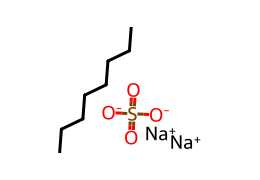 CCCCCCCC.O=S(=O)([O-])[O-].[Na+].[Na+]